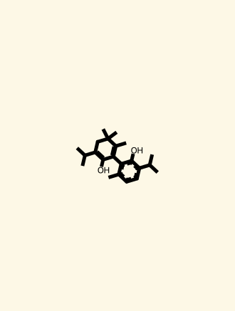 CC1=C(c2c(C)ccc(C(C)C)c2O)C(O)=C(C(C)C)CC1(C)C